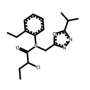 CCc1ccccc1N(Cc1nnc(C(C)C)o1)C(=O)C(Cl)CC